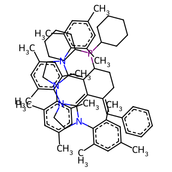 Cc1cc(C)c(N2CCN(c3c(C)cc(C)cc3C)C2=C2C(=Cc3ccccc3)CCC(P(C3CCCCC3)C3CCCCC3)C2=C2N(c3c(C)cc(C)cc3C)CCN2c2c(C)cc(C)cc2C)c(C)c1